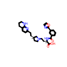 O=C(N[C@H](CCN1CC[C@@H](CCc2ccc3c(n2)NCCC3)C1)C(=O)O)c1cccc(-c2ncco2)c1